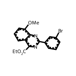 CCOC(=O)c1nc(-c2cccc(Br)c2)nc2c(OC)cccc12